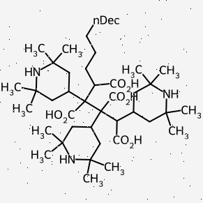 CCCCCCCCCCCCCC(C(=O)O)C(C(=O)O)(C1CC(C)(C)NC(C)(C)C1)C(C(=O)O)(C1CC(C)(C)NC(C)(C)C1)C(C(=O)O)C1CC(C)(C)NC(C)(C)C1